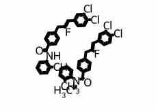 CCN(C(=O)c1ccc(CC(F)=Cc2ccc(Cl)c(Cl)c2)cc1)c1ccccc1C.Cc1ccccc1NC(=O)c1ccc(CC(F)=Cc2ccc(Cl)c(Cl)c2)cc1